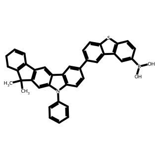 CC1(C)C2=C(C=CCC2)c2cc3c4cc(-c5ccc6sc7ccc(B(O)O)cc7c6c5)ccc4n(-c4ccccc4)c3cc21